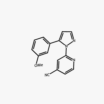 COc1cccc(-c2ccnn2-c2cc(C#N)ccn2)c1